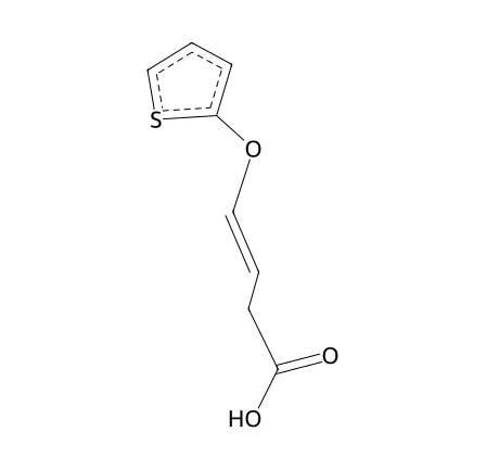 O=C(O)CC=COc1cccs1